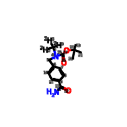 [2H]C([2H])([2H])N(Cc1ccc(C(N)=O)cc1)C(=O)OC(C)(C)C